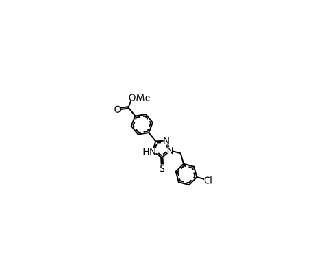 COC(=O)c1ccc(-c2nn(Cc3cccc(Cl)c3)c(=S)[nH]2)cc1